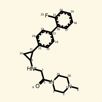 CN1CCN(C(=O)CNC2CC2c2ccc(-c3ccccc3F)cc2)CC1